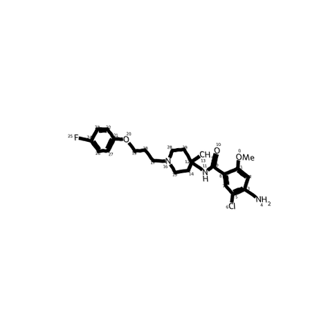 COc1cc(N)c(Cl)cc1C(=O)NC1(C)CCN(CCCOc2ccc(F)cc2)CC1